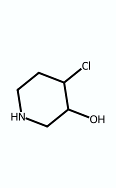 OC1CNCCC1Cl